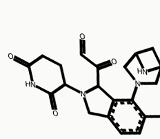 O=CC(=O)C1c2c(ccc(F)c2N2CC3CC(C2)N3)CN1C1CCC(=O)NC1=O